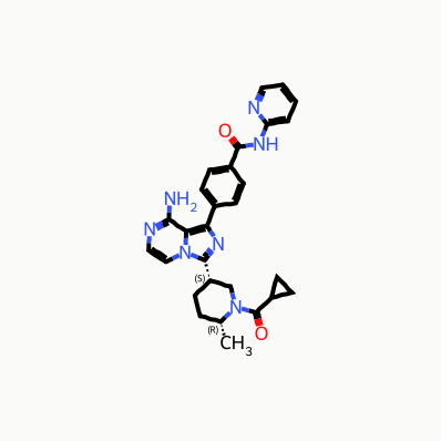 C[C@@H]1CC[C@H](c2nc(-c3ccc(C(=O)Nc4ccccn4)cc3)c3c(N)nccn23)CN1C(=O)C1CC1